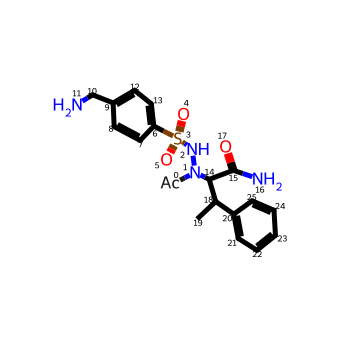 CC(=O)N(NS(=O)(=O)c1ccc(CN)cc1)C(C(N)=O)C(C)c1ccccc1